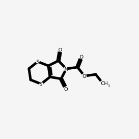 CCOC(=O)N1C(=O)C2=C(SCCS2)C1=O